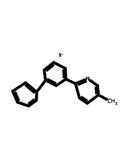 Cc1ccc(-c2cccc(-c3ccccc3)c2)nc1.[Ir]